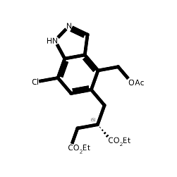 CCOC(=O)C[C@H](Cc1cc(Cl)c2[nH]ncc2c1COC(C)=O)C(=O)OCC